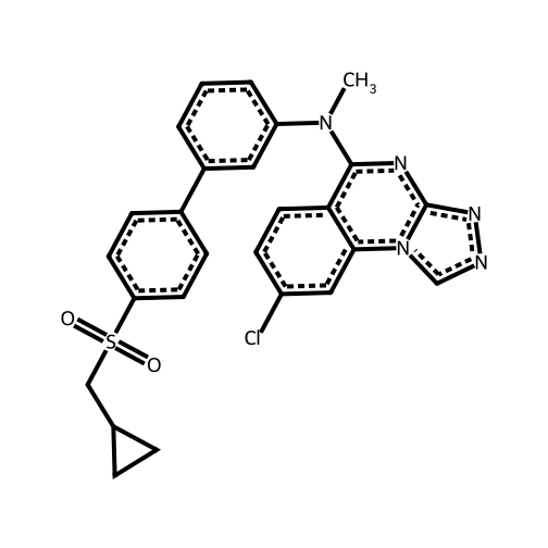 CN(c1cccc(-c2ccc(S(=O)(=O)CC3CC3)cc2)c1)c1nc2nncn2c2cc(Cl)ccc12